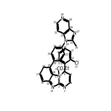 CCOC(=O)[N+]12C(=NC=CC1c1ccccc1Cl)N=C1C=CCC(c3ccc(-n4c(C)nc5cnccc54)cc3)=C12